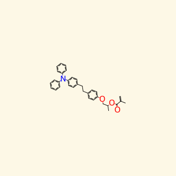 C=C(C)C(=O)OC(C)COc1ccc(CCc2ccc(N(c3ccccc3)c3ccccc3)cc2)cc1